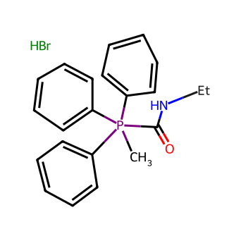 Br.CCNC(=O)P(C)(c1ccccc1)(c1ccccc1)c1ccccc1